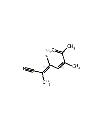 C=C(C)/C(C)=C\C(F)=C(/C)C#N